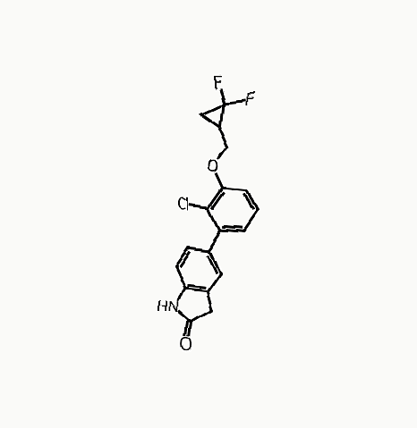 O=C1Cc2cc(-c3cccc(OCC4CC4(F)F)c3Cl)ccc2N1